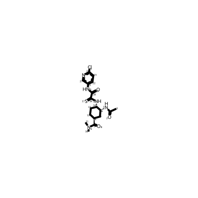 CC(=O)N[C@@H]1C[C@@H](C(=O)N(C)C)CC[C@@H]1NC(=S)C(=O)Nc1ccc(Cl)nc1